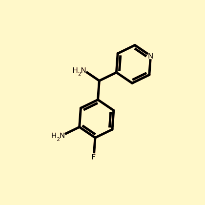 Nc1cc(C(N)c2ccncc2)ccc1F